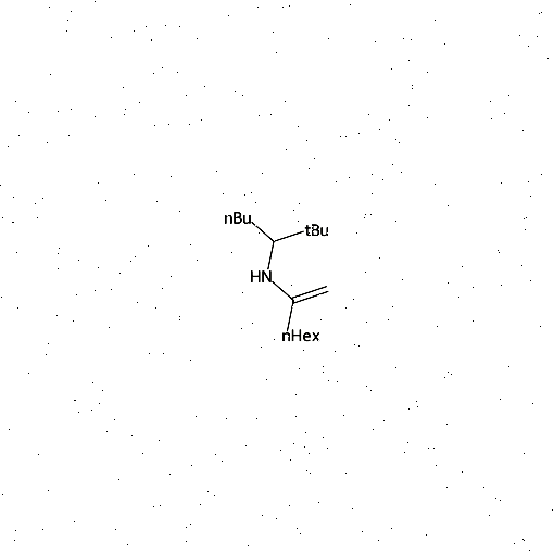 C=C(CCCCCC)NC(CCCC)C(C)(C)C